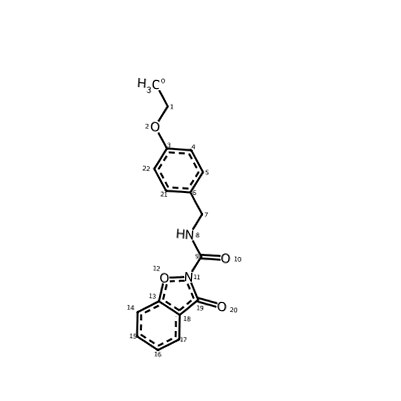 CCOc1ccc(CNC(=O)n2oc3ccccc3c2=O)cc1